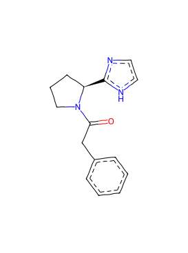 O=C(Cc1ccccc1)N1CCC[C@H]1c1ncc[nH]1